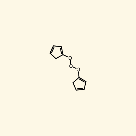 C1=CCC(OOOC2=CC=CC2)=C1